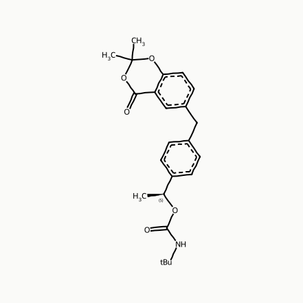 C[C@H](OC(=O)NC(C)(C)C)c1ccc(Cc2ccc3c(c2)C(=O)OC(C)(C)O3)cc1